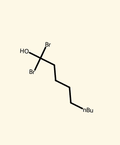 CCCCCCCCC(O)(Br)Br